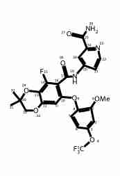 COc1cc(OC(F)(F)F)ccc1Oc1cc2c(c(F)c1C(=O)Nc1ccnc(C(N)=O)c1)OC(C)(C)CO2